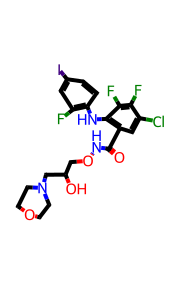 O=C(NOCC(O)CN1CCOCC1)c1cc(Cl)c(F)c(F)c1Nc1ccc(I)cc1F